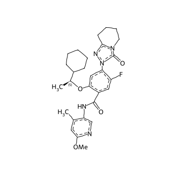 COc1cc(C)c(NC(=O)c2cc(F)c(-n3nc4n(c3=O)CCCC4)cc2O[C@@H](C)C2CCCCC2)cn1